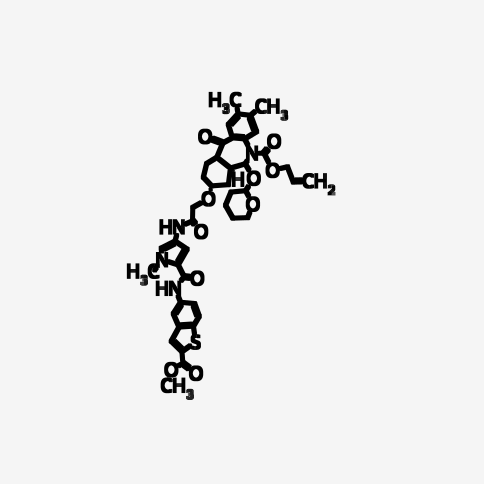 C=CCOC(=O)N1c2cc(C)c(C)cc2C(=O)C2CC[C@@H](OCC(=O)Nc3cc(C(=O)Nc4ccc5sc(C(=O)OC)cc5c4)n(C)c3)C[C@H]2C1OC1CCCCO1